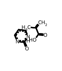 C=C(C)C(=O)O.O=c1nccc[nH]1